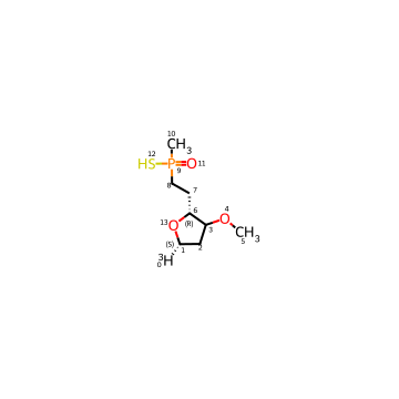 [3H][C@H]1CC(OC)[C@@H](CCP(C)(=O)S)O1